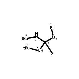 CCOC(C)(NC(C)(C)C)NC(C)(C)C